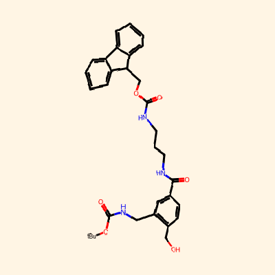 CC(C)(C)OC(=O)NCc1cc(C(=O)NCCCNC(=O)OCC2c3ccccc3-c3ccccc32)ccc1CO